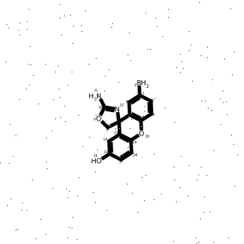 Bc1ccc2c(c1)C1(COC(N)=N1)c1cc(O)ccc1O2